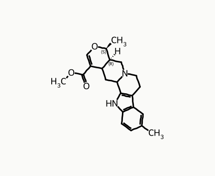 COC(=O)C1=CO[C@@H](C)[C@H]2CN3CCc4c([nH]c5ccc(C)cc45)C3CC12